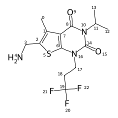 Cc1c(CN)sc2c1c(=O)n(C(C)C)c(=O)n2CCC(F)(F)F